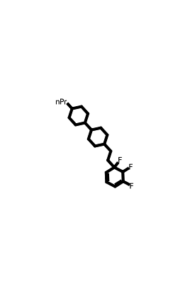 CCCC1CCC(C2CCC(CCC3(F)C=CC=C(F)C3F)CC2)CC1